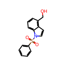 O=S(=O)(c1ccccc1)n1ccc2c(CO)cccc21